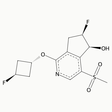 CS(=O)(=O)c1cnc(O[C@H]2C[C@H](F)C2)c2c1[C@H](O)[C@H](F)C2